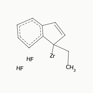 CC[C]1([Zr])C=Cc2ccccc21.F.F